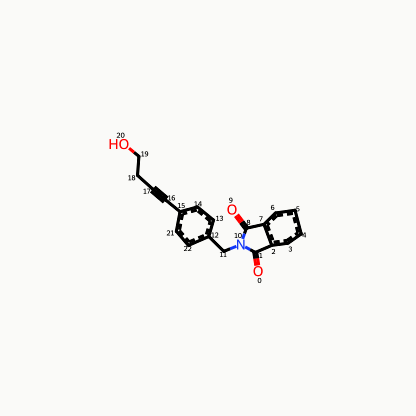 O=C1c2ccccc2C(=O)N1Cc1ccc(C#CCCO)cc1